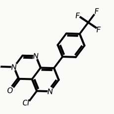 Cn1cnc2c(-c3ccc(C(F)(F)F)cc3)cnc(Cl)c2c1=O